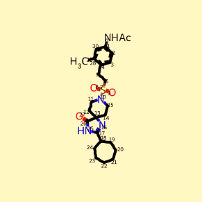 CC(=O)Nc1ccc(CCS(=O)(=O)N2CCC3(CC2)N=C(C2CCCCCC2)NC3=O)c(C)c1